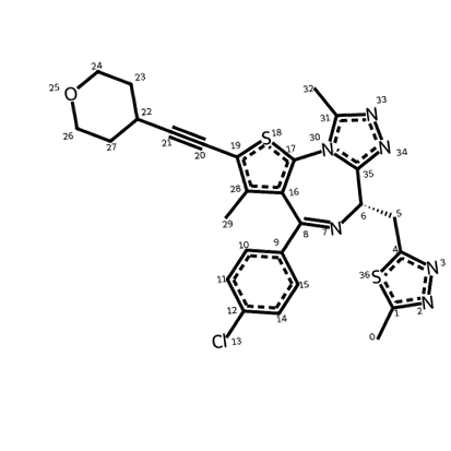 Cc1nnc(C[C@@H]2N=C(c3ccc(Cl)cc3)c3c(sc(C#CC4CCOCC4)c3C)-n3c(C)nnc32)s1